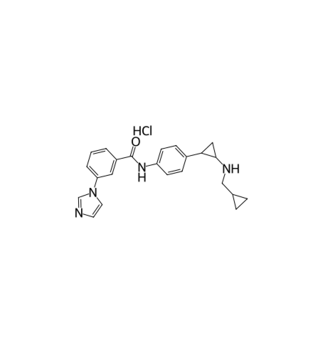 Cl.O=C(Nc1ccc(C2CC2NCC2CC2)cc1)c1cccc(-n2ccnc2)c1